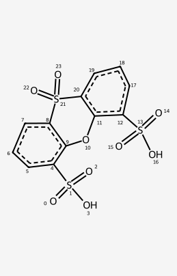 O=S(=O)(O)c1cccc2c1Oc1c(S(=O)(=O)O)cccc1S2(=O)=O